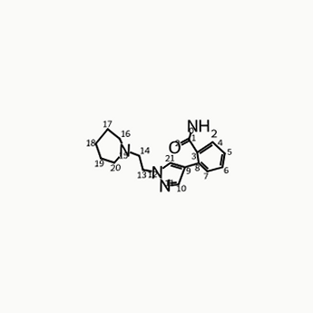 NC(=O)c1ccccc1-c1cnn(CCN2CCCCC2)c1